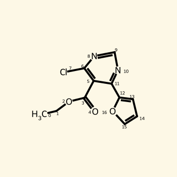 CCOC(=O)c1c(Cl)ncnc1-c1ccco1